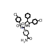 NC(=O)C1CCN(/C(=N/S(=O)(=O)c2ccc(Cl)cc2)N2CC(c3ccccc3)C(c3ccc(Cl)cc3)=N2)CC1